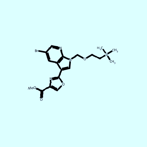 COC(=O)c1coc(-c2cn(COCC[Si](C)(C)C)c3ncc(Br)cc23)n1